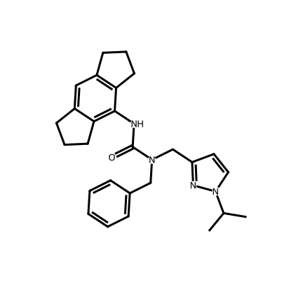 CC(C)n1ccc(CN(Cc2ccccc2)C(=O)Nc2c3c(cc4c2CCC4)CCC3)n1